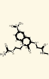 CNC(=O)COc1cc2cc([N+](=O)[O-])ccc2n(CCOC(N)=O)c1=O